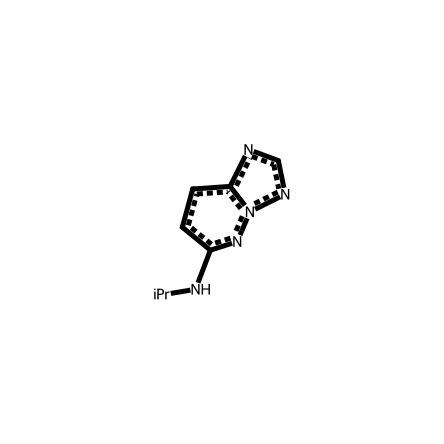 CC(C)Nc1ccc2ncnn2n1